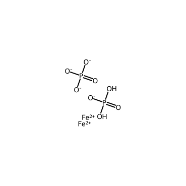 O=P([O-])(O)O.O=P([O-])([O-])[O-].[Fe+2].[Fe+2]